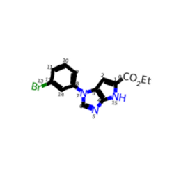 CCOC(=O)c1cc2c(ncn2-c2cccc(Br)c2)[nH]1